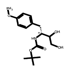 CC(C)(C)OC(=O)N[C@H](Cc1ccc(OP)cc1)C(O)CO